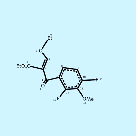 CCOC=C(C(=O)OCC)C(=O)c1ccc(F)c(OC)c1F